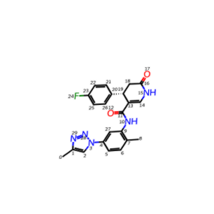 Cc1cn(-c2ccc(C)c(NC(=O)C3=CNC(=O)C[C@H]3c3ccc(F)cc3)c2)nn1